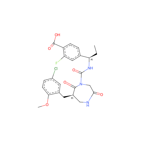 CC[C@@H](NC(=O)N1CC(=O)NC[C@@H](Cc2cc(Cl)ccc2OC)C1=O)c1ccc(C(=O)O)c(F)c1